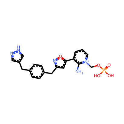 Nc1c(-c2cc(Cc3ccc(Cc4cn[nH]c4)cc3)no2)ccc[n+]1COP(=O)(O)O